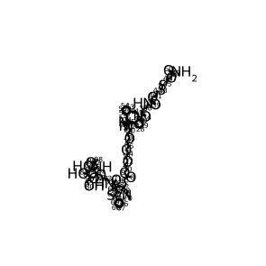 C/N=C/C(C)(CCC(=O)OCCOCCOCCOCCn1nnc2c1-c1ccccc1N(C(=O)CCNC(=O)OCCSSCCOC(N)=O)Cc1ccccc1-2)CC(C)(SC(=S)c1ccccc1)C(=O)NCCOC1OC(CO)C(O)C(O)C1NC(C)=O